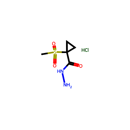 CS(=O)(=O)C1(C(=O)NN)CC1.Cl